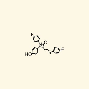 O=C1C(CCSc2ccc(F)cc2)C(c2ccc(O)cc2)N1c1ccc(F)cc1